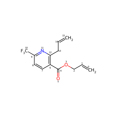 C=CCOC(=O)c1ccc(C(F)(F)F)nc1CC=C